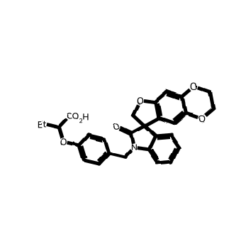 CCC(Oc1ccc(CN2C(=O)C3(COc4cc5c(cc43)OCCO5)c3ccccc32)cc1)C(=O)O